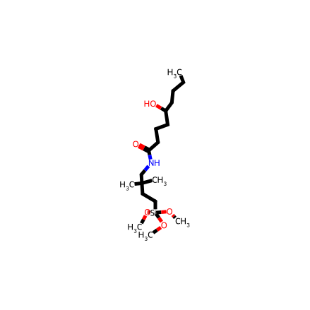 CCCCC(O)CCCC(=O)NCC(C)(C)CC[Si](OC)(OC)OC